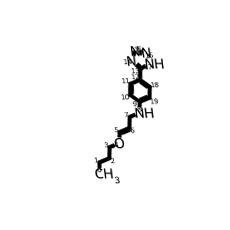 CCCCOC=CCNc1ccc(-c2nnn[nH]2)cc1